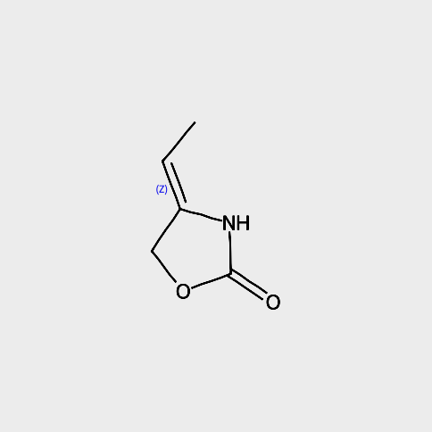 C/C=C1/COC(=O)N1